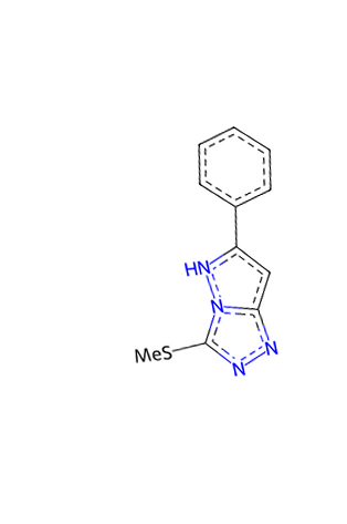 CSc1nnc2cc(-c3ccccc3)[nH]n12